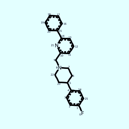 Fc1ccc(C2CCN(Cc3cccc(-c4ccccc4)n3)CC2)cc1